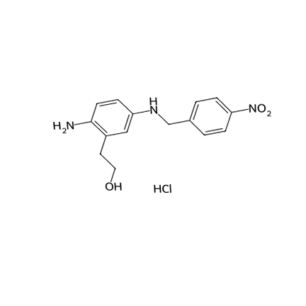 Cl.Nc1ccc(NCc2ccc([N+](=O)[O-])cc2)cc1CCO